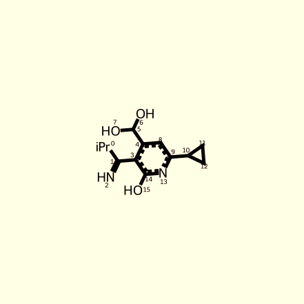 CC(C)C(=N)c1c(C(O)O)cc(C2CC2)nc1O